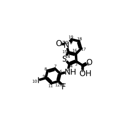 O=C(O)c1c(Nc2ccc(I)cc2F)sc2c1ccc[n+]2[O-]